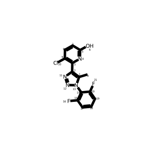 Cc1c(-c2nc(O)ccc2Cl)nnn1-c1c(F)cccc1F